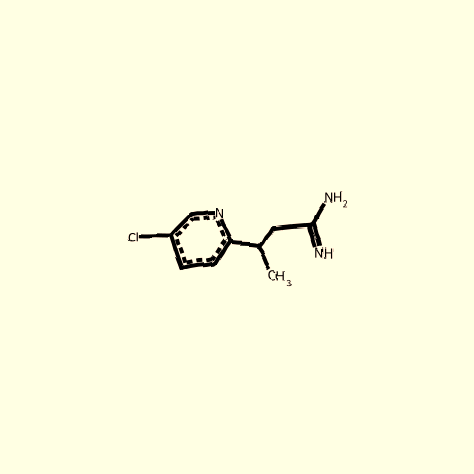 CC(CC(=N)N)c1ccc(Cl)cn1